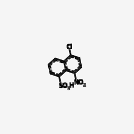 O=[N+]([O-])c1ccc(Cl)c2cccc(S(=O)(=O)O)c12